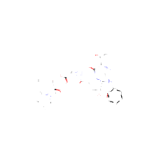 CC(C)[C@H](OC(=O)[C@H](NC(=O)[C@@H]1C[C@@]2(O)c3ccccc3N[C@H]2N1C(=O)[C@H](N)[C@H](C)O)C(C)C)C(=O)N1CCCC1